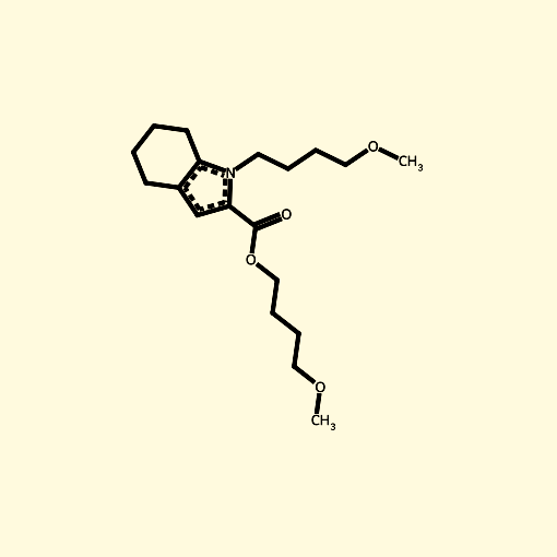 COCCCCOC(=O)c1cc2c(n1CCCCOC)CCCC2